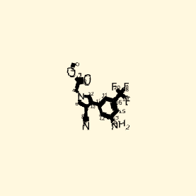 COC(=O)Cn1cc(C#N)c(-c2cc(N)cc(C(F)(F)F)c2)c1